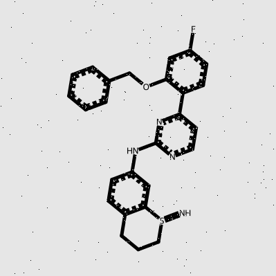 N=S1CCCc2ccc(Nc3nccc(-c4ccc(F)cc4OCc4ccccc4)n3)cc21